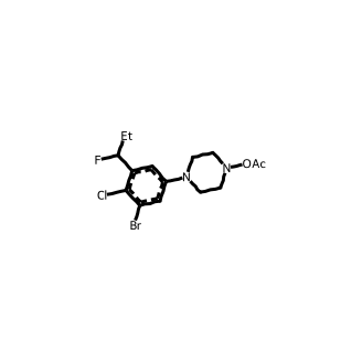 CCC(F)c1cc(N2CCN(OC(C)=O)CC2)cc(Br)c1Cl